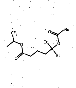 CCC(C)C(=O)OC(CC)(CC)CCCC(=O)OC(C)C(F)(F)F